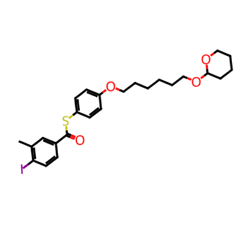 Cc1cc(C(=O)Sc2ccc(OCCCCCCOC3CCCCO3)cc2)ccc1I